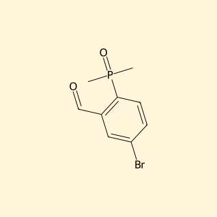 CP(C)(=O)c1ccc(Br)cc1C=O